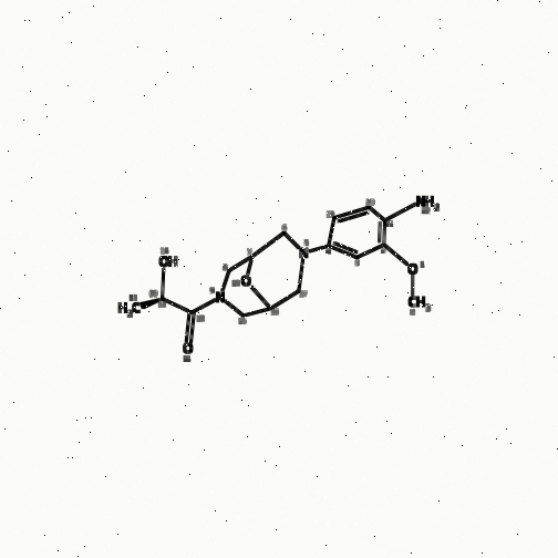 COc1cc(N2CC3CN(C(=O)[C@@H](C)O)CC(C2)O3)ccc1N